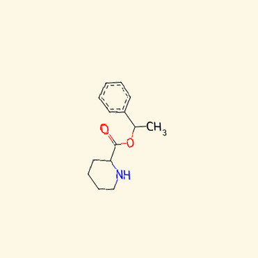 CC(OC(=O)C1CCCCN1)c1ccccc1